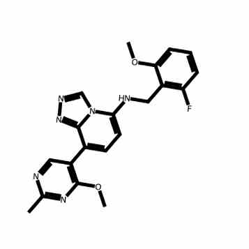 COc1cccc(F)c1CNc1ccc(-c2cnc(C)nc2OC)c2nncn12